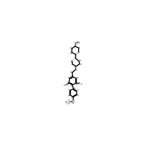 CCC[C@H]1CC[C@H]([C@H]2CC[C@H](CCc3cc(F)c(-c4ccc(OC(F)(F)F)cc4)c(F)c3)CC2)CC1